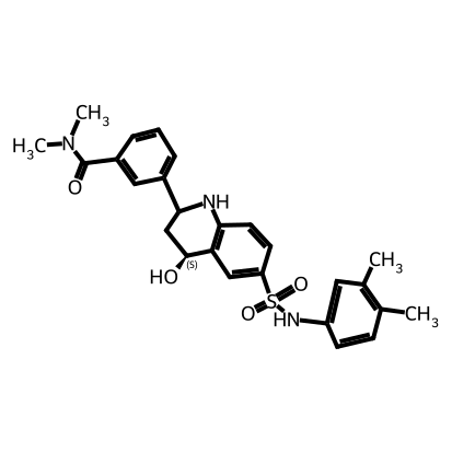 Cc1ccc(NS(=O)(=O)c2ccc3c(c2)[C@@H](O)CC(c2cccc(C(=O)N(C)C)c2)N3)cc1C